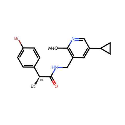 CC[C@H](C(=O)NCc1cc(C2CC2)cnc1OC)c1ccc(Br)cc1